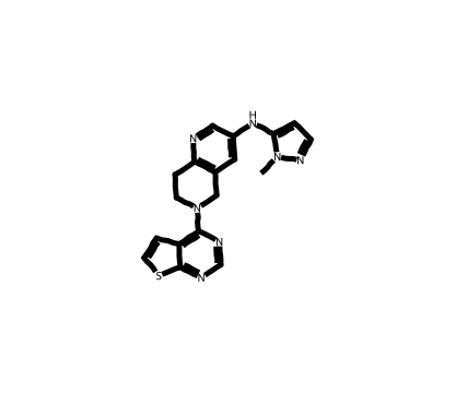 Cn1nccc1Nc1cnc2c(c1)CN(c1ncnc3sccc13)CC2